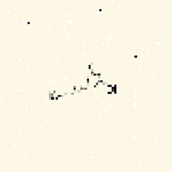 CCc1cc(CO)cc(COCCCO)c1